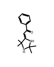 CC1(C)NC(=CC(=O)c2ccccc2)C(C)(C)N1